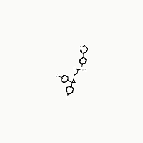 O=C(/C=C/[C@@H]1CC1(c1ccc(F)cc1)c1ccc(F)cc1)Nc1ccc(-c2cccnc2)cc1